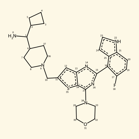 NC(C1CCC1)C1CCN(Cc2cc3nc(-c4c(F)ccc5[nH]ccc45)nc(N4CCOCC4)c3s2)CC1